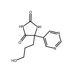 O=C1NC(=O)C(CCCO)(c2cncnc2)N1